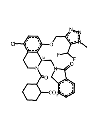 Cn1nnc(COc2ccc(Cl)c3c2[C@@H](CN2Cc4ccccc4C2=O)N(C(=O)C2CCCCC2C(=O)O)CC3)c1C(F)F